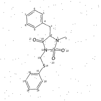 CN1C(Cc2ccccc2)C(=O)N(CSc2ccccc2)S1(=O)=O